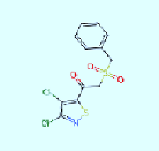 O=C(CS(=O)(=O)Cc1ccccc1)c1snc(Cl)c1Cl